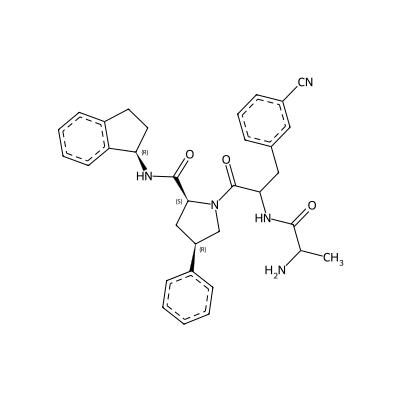 CC(N)C(=O)NC(Cc1cccc(C#N)c1)C(=O)N1C[C@@H](c2ccccc2)C[C@H]1C(=O)N[C@@H]1CCc2ccccc21